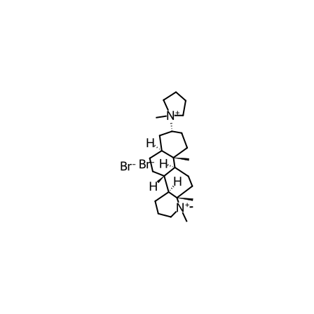 C[C@]12CC[C@@H]([N+]3(C)CCCC3)C[C@@H]1CC[C@@H]1[C@@H]2CC[C@@]2(C)[C@H]1CCC[N+]2(C)C.[Br-].[Br-]